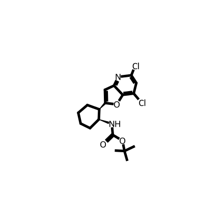 CC(C)(C)OC(=O)N[C@H]1CCCC[C@H]1c1cc2nc(Cl)cc(Cl)c2o1